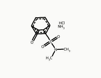 CN(C)S(=O)(=O)C1C(=O)c2ccc1cc2.Cl.N